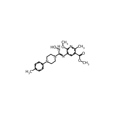 COC(=O)c1cc(N=C(NO)N2CCN(c3ccc(C)cc3)CC2)c(OC)nc1C